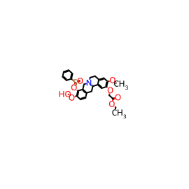 CCOC(=O)COc1cc2c(cc1OC)CCN1Cc3c(ccc(OO)c3OS(=O)c3ccccc3)CC21